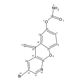 NC(=O)Oc1ccc2oc3ncc(Br)cc3c(=O)c2c1